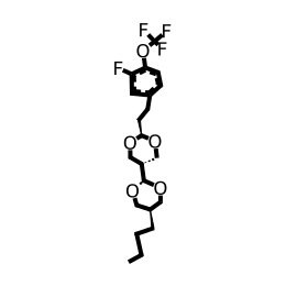 CCCC[C@H]1CO[C@H]([C@H]2CO[C@H](CCc3ccc(OC(F)(F)F)c(F)c3)OC2)OC1